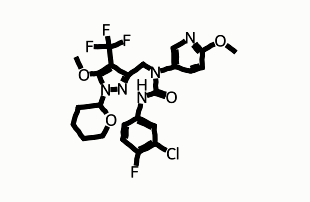 COc1ccc(N(Cc2nn(C3CCCCO3)c(OC)c2C(F)(F)F)C(=O)Nc2ccc(F)c(Cl)c2)cn1